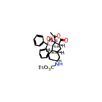 CCOC(=O)N[C@@H]1CC[C@@H]2[C@@H](C1)C[C@H]1C(=O)O[C@H](C)[C@H]1[C@H]2C(O)(c1ccccc1)c1ccccc1